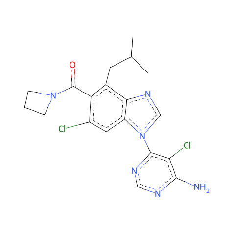 CC(C)Cc1c(C(=O)N2CCC2)c(Cl)cc2c1ncn2-c1ncnc(N)c1Cl